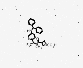 CN(C(=O)C1CN(C(=O)O)C1)[C@@H](c1ccc(NC(c2ccccc2)c2ccccc2)cn1)C(F)(F)F